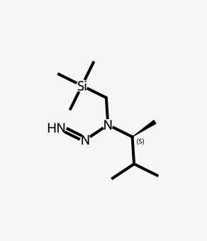 CC(C)[C@H](C)N(C[Si](C)(C)C)N=N